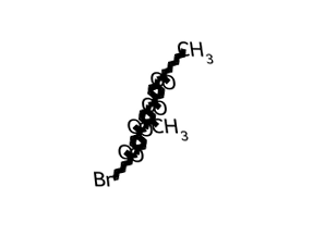 CCCCCCCC(=O)Oc1ccc(C(=O)Oc2ccc(OC(=O)c3ccc(OC(=O)CCCCCBr)cc3)c(C)c2)cc1